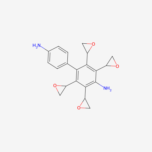 Nc1ccc(-c2c(C3CO3)c(C3CO3)c(N)c(C3CO3)c2C2CO2)cc1